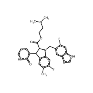 Cc1cc2c(cc1F)N(Cc1cc3nc[nH]c3cc1F)C(C(=O)OCCN(C)C)C2c1ccc[nH]c1=O